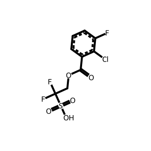 O=C(OCC(F)(F)S(=O)(=O)O)c1cccc(F)c1Cl